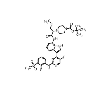 COCC(C(=O)Nc1cccc2c(-c3nc(Nc4cccc(S(C)(=O)=O)c4F)ncc3F)c[nH]c12)N1CCN(C(=O)OC(C)(C)C)CC1